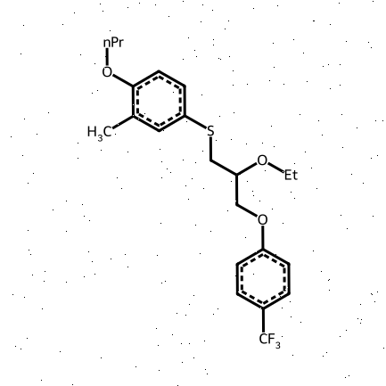 CCCOc1ccc(SCC(COc2ccc(C(F)(F)F)cc2)OCC)cc1C